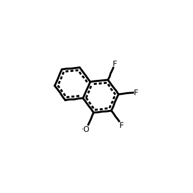 [O]c1c(F)c(F)c(F)c2ccccc12